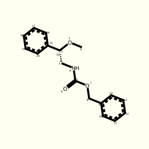 CO[C@H](CNC(=O)OCc1ccccc1)c1ccccc1